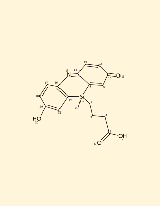 C[Si]1(CCCC(=O)O)C2=CC(=O)C=CC2=Nc2ccc(O)cc21